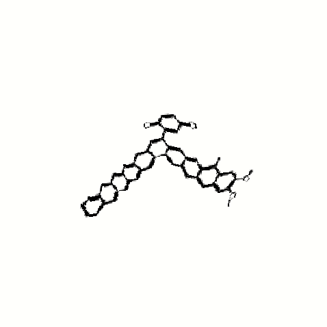 COc1cc2cc3cc4cc5c(cc4cc3c(C)c2cc1OC)c(C1=CC(=O)C=CC1=O)cc1cc2cc3cc4cc6ccccc6cc4cc3cc2cc15